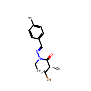 C[C@H](CS)C(=O)N(CC(=O)O)/N=C/c1ccc(C#N)cc1